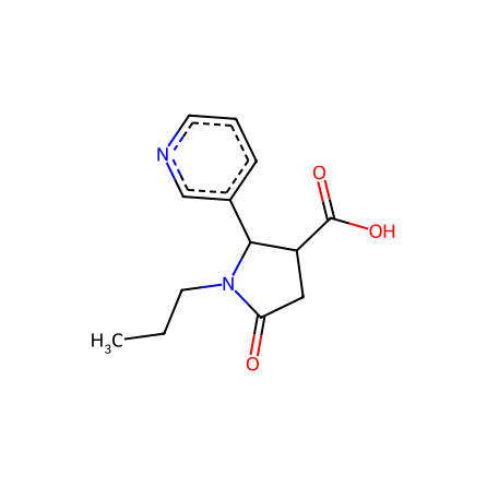 CCCN1C(=O)CC(C(=O)O)C1c1cccnc1